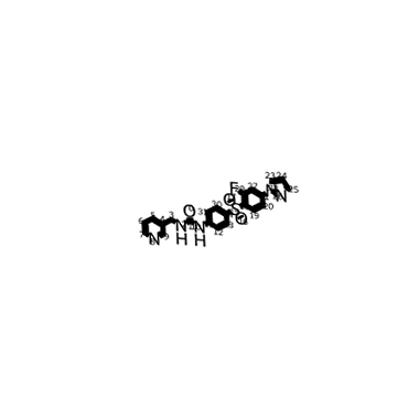 O=C(NCc1cccnc1)Nc1ccc(S(=O)(=O)c2ccc(-n3cccn3)cc2F)cc1